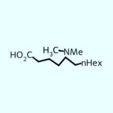 CCCCCCCCCCCC(=O)O.CNC